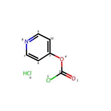 Cl.O=C(Cl)Oc1ccncc1